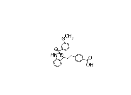 COc1cccc(S(=O)(=O)Nc2ccccc2CCCc2ccc(C(=O)O)cc2)c1